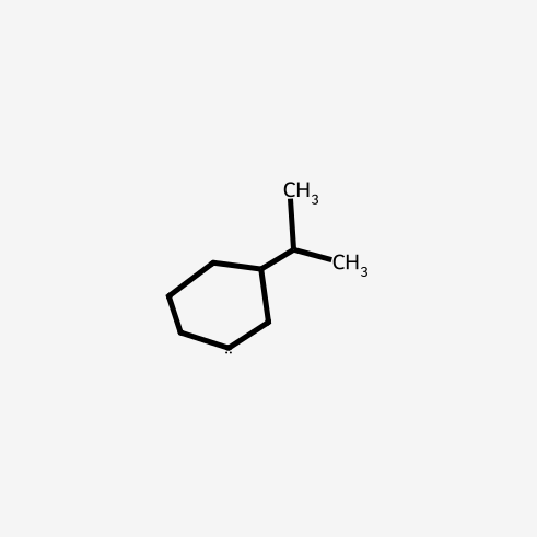 CC(C)C1C[C]CCC1